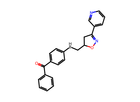 O=C(c1ccccc1)c1ccc(BCC2CC(c3cccnc3)=NO2)cc1